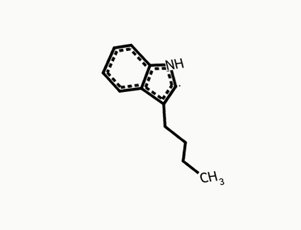 CCCCc1[c][nH]c2ccccc12